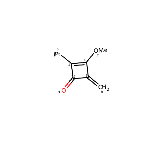 C=C1C(=O)C(C(C)C)=C1OC